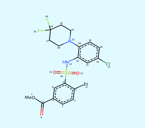 CCc1ccc(C(=O)OC)cc1S(=O)(=O)Nc1cc(Cl)ccc1N1CCC(F)(F)CC1